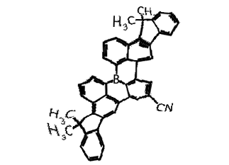 CC1(C)c2ccccc2-c2cc3c4c(cccc4c21)B1c2c-3cc(C#N)cc2-c2cc3c(c4cccc1c24)C(C)(C)c1ccccc1-3